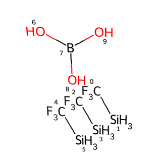 FC(F)(F)[SiH3].FC(F)(F)[SiH3].FC(F)(F)[SiH3].OB(O)O